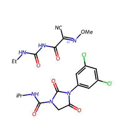 CC(C)NC(=O)N1CC(=O)N(c2cc(Cl)cc(Cl)c2)C1=O.CCNC(=O)NC(=O)/C(C#N)=N/OC